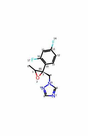 CC1O[C@@]1(Cn1cncn1)c1ccc(F)cc1F